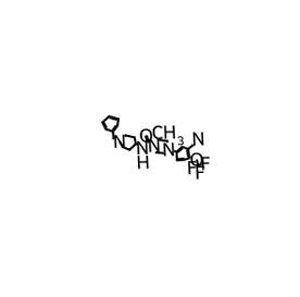 C[C@@H]1CN(c2ccc(OC(F)(F)F)c(C#N)c2)CCN1C(=O)NC1CCN(Cc2ccccc2)CC1